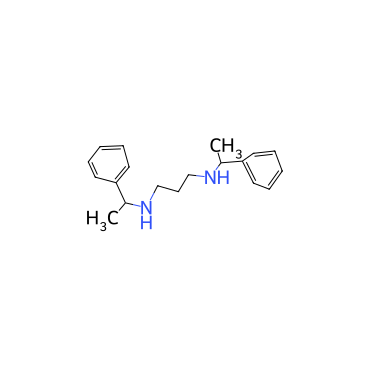 CC(NCCCNC(C)c1ccccc1)c1ccccc1